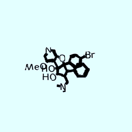 COc1cncc2c1C1(O)C(O)C(CN(C)C)C(c3ccccc3)C1(c1ccc(Br)cc1)O2